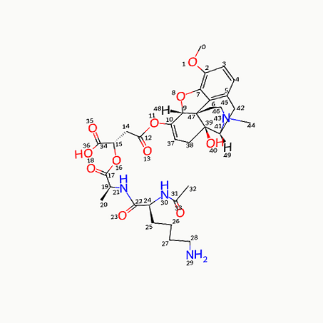 COc1ccc2c3c1O[C@H]1C(OC(=O)C[C@H](OC(=O)[C@H](C)NC(=O)[C@H](CCCCN)NC(C)=O)C(=O)O)=CC[C@@]4(O)[C@@H](C2)N(C)CC[C@]314